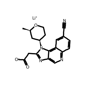 C[C@@H]1C[C@H](n2c(CC(=O)[O-])nc3cnc4ccc(C#N)cc4c32)CCO1.[Li+]